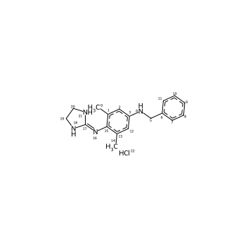 Cc1cc(NCc2ccccc2)cc(C)c1N=C1NCCN1.Cl